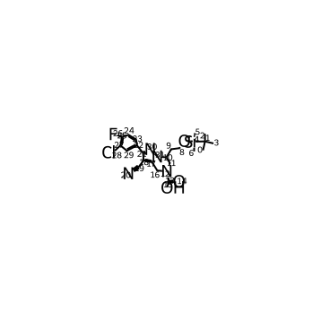 CC(C)(C)[Si](C)(C)OCCC1CN(C(=O)O)Cc2c(C#N)c(-c3ccc(F)c(Cl)c3)nn21